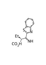 CC[C@@H](C(=N)c1nc2ccccc2s1)C(=O)O